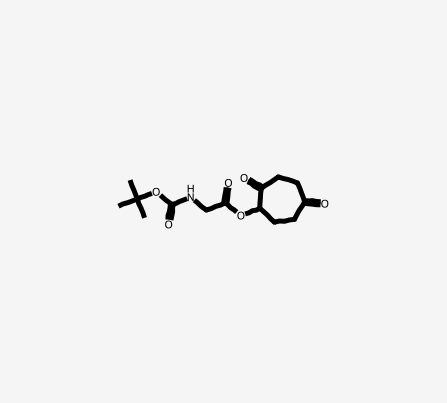 CC(C)(C)OC(=O)NCC(=O)OC1CCC(=O)CCC1=O